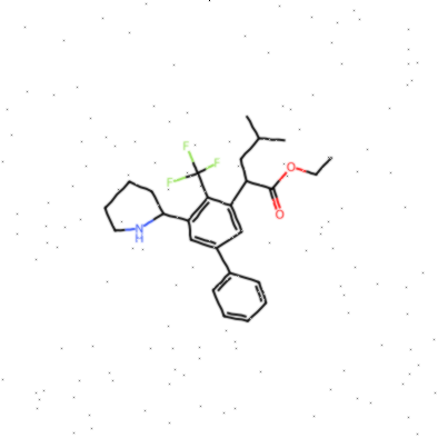 CCOC(=O)C(CC(C)C)c1cc(-c2ccccc2)cc(C2CCCCN2)c1C(F)(F)F